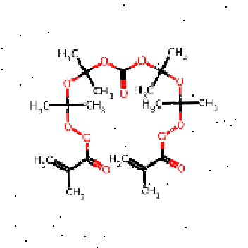 C=C(C)C(=O)OOC(C)(C)OC(C)(C)OC(=O)OC(C)(C)OC(C)(C)OOC(=O)C(=C)C